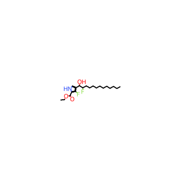 CCCCCCCCCCCC(F)C(O)c1c[nH]c(C(=O)OCC)c1F